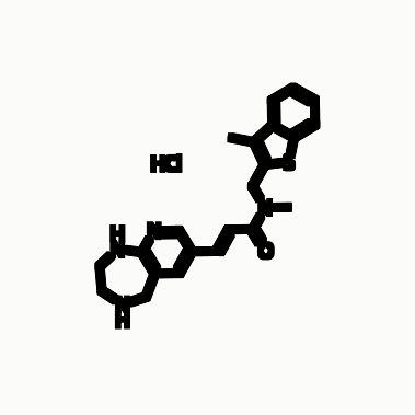 Cc1c(CN(C)C(=O)/C=C/c2cnc3c(c2)CNCCN3)sc2ccccc12.Cl